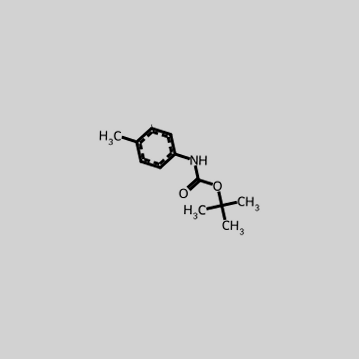 Cc1[c]cc(NC(=O)OC(C)(C)C)cc1